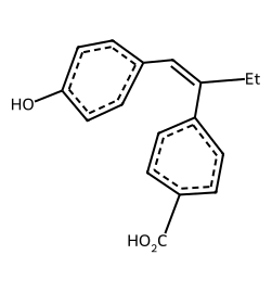 CCC(=Cc1ccc(O)cc1)c1ccc(C(=O)O)cc1